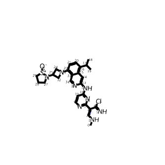 CN/C=C(\C(=N)Cl)c1nccc(Nc2cc3c(C(C)C)ccc(N4CC(N5CCC[S+]5[O-])C4)c3cn2)n1